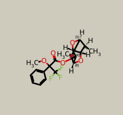 COC(C(=O)O[C@H]1[C@@H]2O[C@@H]3C(C)[C@H]1O[C@H]2[C@@H]3C)(c1ccccc1)C(F)(F)F